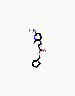 Cc1nc(N)ccc1/C=C/C(=O)OCc1ccccc1